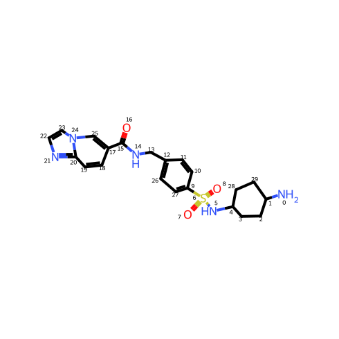 NC1CCC(NS(=O)(=O)c2ccc(CNC(=O)c3ccc4nccn4c3)cc2)CC1